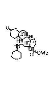 COC(=O)C1CC[C@H]2[C@@H]3CCC4CC(=O)CC[C@]4(C)[C@@H]3C(NC3CCCCC3)C[C@]12C